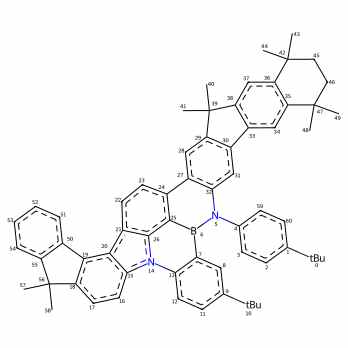 CC(C)(C)c1ccc(N2B3c4cc(C(C)(C)C)ccc4-n4c5ccc6c(c5c5ccc(c3c54)-c3cc4c(cc32)-c2cc3c(cc2C4(C)C)C(C)(C)CCC3(C)C)-c2ccccc2C6(C)C)cc1